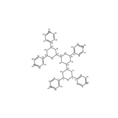 c1cc(C2CC(c3ccncc3)CC(C3CC(c4ccncc4)CC(C4CC(c5ccncc5)CC(c5ccncc5)C4)C3)C2)ccn1